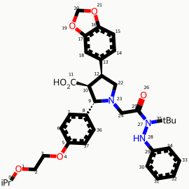 CC(C)OCCOc1ccc([C@@H]2[C@@H](C(=O)O)[C@@H](c3ccc4c(c3)OCO4)CN2CC(=O)N(Nc2ccccc2)C(C)(C)C)cc1